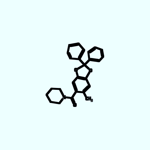 Cc1cc2c(cc1C(=O)N1CCCCC1)OC(c1ccccc1)(c1ccccc1)O2